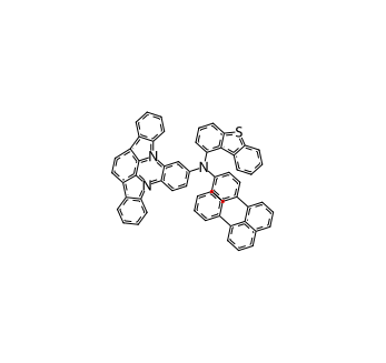 c1ccc(-c2cccc3cccc(-c4ccc(N(c5ccc6c(c5)n5c7ccccc7c7ccc8c9ccccc9n6c8c75)c5cccc6sc7ccccc7c56)cc4)c23)cc1